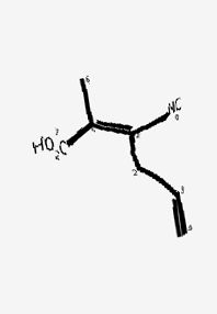 [C-]#[N+]/C(CC=C)=C(\C)C(=O)O